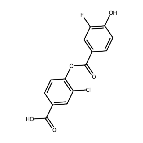 O=C(O)c1ccc(OC(=O)c2ccc(O)c(F)c2)c(Cl)c1